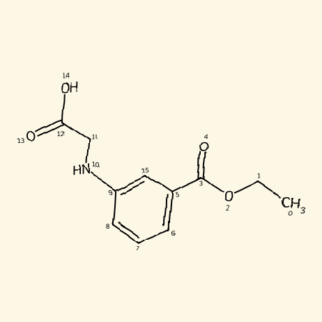 CCOC(=O)c1cccc(NCC(=O)O)c1